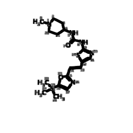 CN1CCC(NC(=O)Nc2ncc(C=Cc3ncc([Si](C)(C)C)o3)s2)CC1